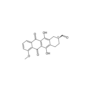 COc1cccc2c1C(=O)c1c(O)c3c(c(O)c1C2=O)C[C@@H](C=O)CC3